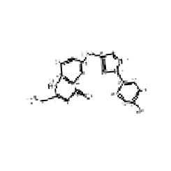 NCc1cc(=O)c2cc(Nc3cnn(-c4ccc(F)cc4)c3)ccc2[nH]1